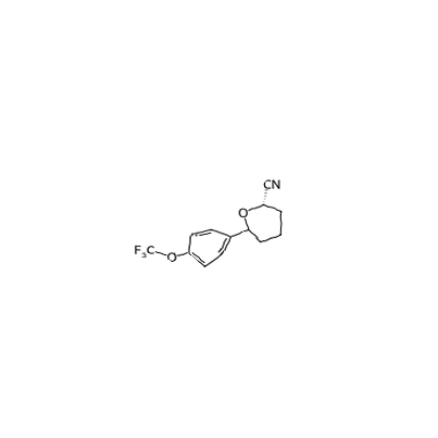 N#C[C@@H]1CCCC(c2ccc(OC(F)(F)F)cc2)O1